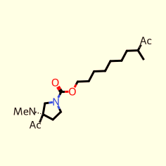 CN[C@@]1(C(C)=O)CCN(C(=O)OCCCCCCCC(C)C(C)=O)C1